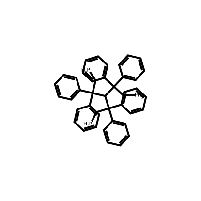 PCC(c1ccccc1)(c1ccccc1)C(C(CP)(c1ccccc1)c1ccccc1)C(CP)(c1ccccc1)c1ccccc1